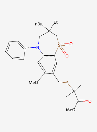 CCCCC1(CC)CN(c2ccccc2)c2cc(OC)c(CSC(C)(C)C(=O)OC)cc2S(=O)(=O)C1